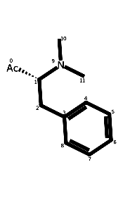 CC(=O)[C@@H](Cc1ccccc1)N(C)C